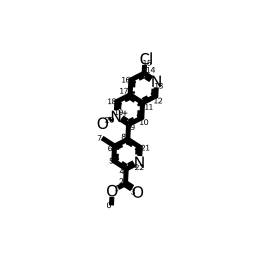 COC(=O)c1cc(C)c(-c2cc3cnc(Cl)cc3c[n+]2[O-])cn1